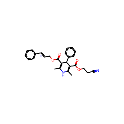 CC1=C(C(=O)OC/C=C/c2ccccc2)C(c2ccccc2)C(C(=O)OCCC#N)=C(C)N1